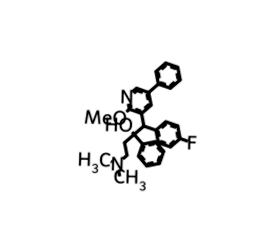 COc1ncc(-c2ccccc2)cc1C(c1ccc(F)cc1)C(O)(CCN(C)C)c1ccccc1